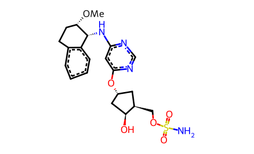 CO[C@H]1CCc2ccccc2[C@H]1Nc1cc(O[C@@H]2C[C@@H](COS(N)(=O)=O)[C@@H](O)C2)ncn1